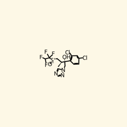 C[C@@H](C[S+]([O-])C(F)(F)C(F)F)[C@](O)(Cn1cncn1)c1ccc(Cl)cc1Cl